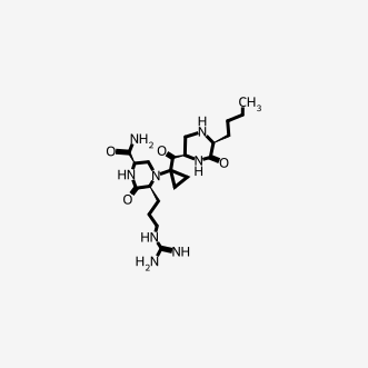 CCCC[C@@H]1NC[C@H](C(=O)C2(N3C[C@H](C(N)=O)NC(=O)[C@@H]3CCCNC(=N)N)CC2)NC1=O